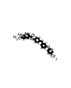 Cc1cc2cc(C(=O)NC3CCC(=Cc4cccc(Oc5ccc(C(F)(F)F)cn5)c4)CC3)cnc2[nH]1